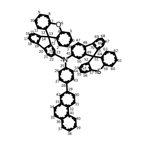 c1ccc2c(c1)Oc1ccccc1C21c2ccccc2-c2ccc(N(c3ccc(-c4ccc5c(ccc6ccccc65)c4)cc3)c3ccc4c(c3)C3(c5ccccc5Sc5ccccc53)c3ccccc3-4)cc21